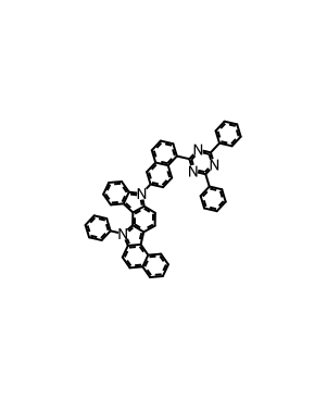 c1ccc(-c2nc(-c3ccccc3)nc(-c3cccc4cc(-n5c6ccccc6c6c5ccc5c7c8ccccc8ccc7n(-c7ccccc7)c56)ccc34)n2)cc1